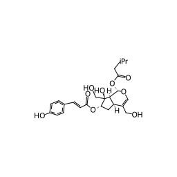 CC(C)CC(=O)O[C@@H]1OC=C(CO)[C@H]2C[C@H](OC(=O)/C=C/c3ccc(O)cc3)[C@](O)(CO)[C@@H]12